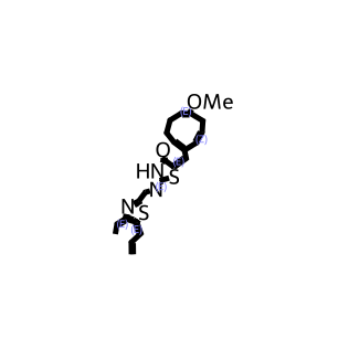 C=C/C=c1/sc(C/N=C2\NC(=O)/C(=C\C3=CCC/C=C(/OC)C/C=C\3)S2)n/c1=C/C